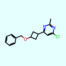 Cc1nc(Cl)cc(C2CC(OCc3ccccc3)C2)n1